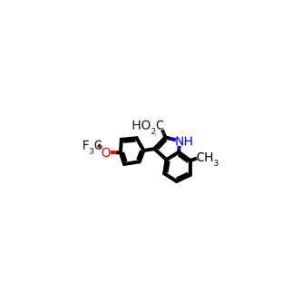 Cc1cccc2c(-c3ccc(OC(F)(F)F)cc3)c(C(=O)O)[nH]c12